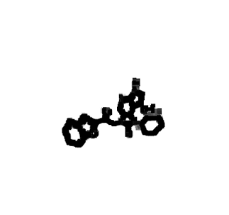 C[C@@H]1CCCC[C@@H]1n1c(=O)n(CC(=O)c2cc3ccccc3o2)c2cnc3[nH]ccc3c21